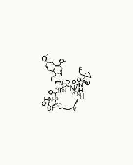 COc1ccc2c(O[C@@H]3C[C@H]4C(=O)N[C@]5(C(=O)NS(=O)(=O)C6(CF)CC6)C[C@H]5C=C[C@@H](C)CCC[C@@H](C)[C@H](NC(=O)O)C(=O)N4C3)ncc(OC)c2c1